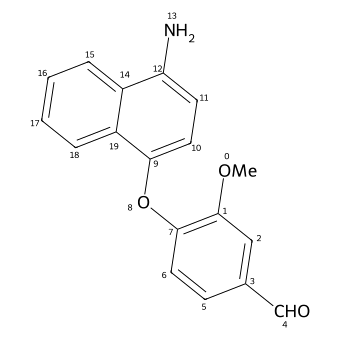 COc1cc(C=O)ccc1Oc1ccc(N)c2ccccc12